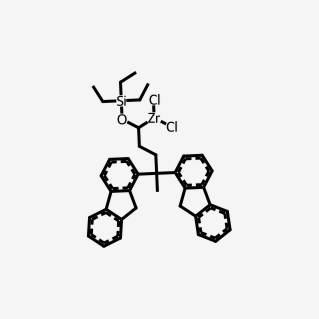 CC[Si](CC)(CC)O[CH](CCC(C)(c1cccc2c1Cc1ccccc1-2)c1cccc2c1Cc1ccccc1-2)[Zr]([Cl])[Cl]